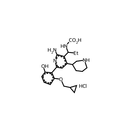 CCC(NC(=O)O)c1c(C2CCCNC2)cc(-c2c(O)cccc2OCC2CC2)nc1N.Cl